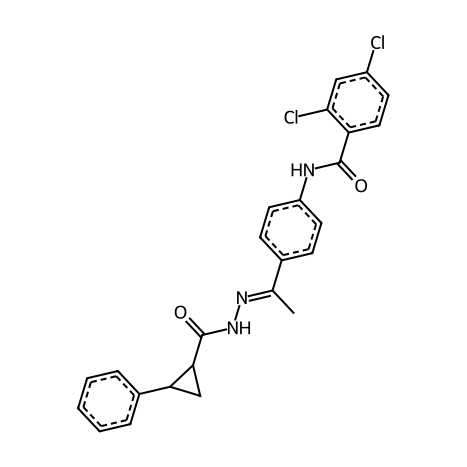 C/C(=N\NC(=O)C1CC1c1ccccc1)c1ccc(NC(=O)c2ccc(Cl)cc2Cl)cc1